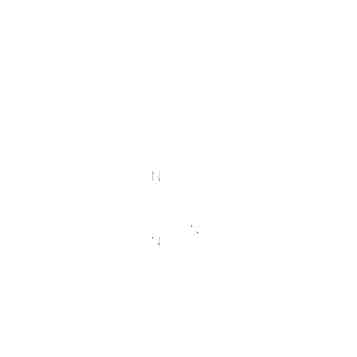 C1=C[C]2N=NCN2C=C1